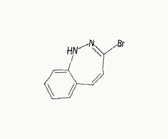 BrC1=NNc2ccccc2C=C1